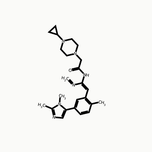 C=N/C(=C\c1cc(-c2cnc(C)n2C)ccc1C)NC(=O)CN1CCN(C2CC2)CC1